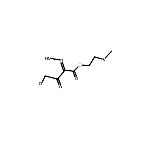 CSCCOC(=O)C(=NO)C(=O)CCl